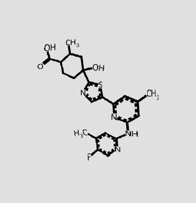 Cc1cc(Nc2cc(C)c(F)cn2)nc(-c2cnc(C3(O)CCC(C(=O)O)C(C)C3)s2)c1